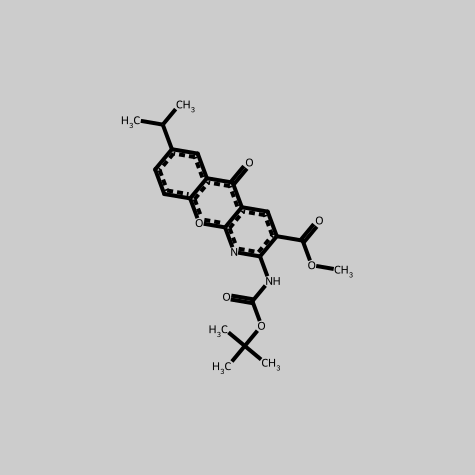 COC(=O)c1cc2c(=O)c3cc(C(C)C)ccc3oc2nc1NC(=O)OC(C)(C)C